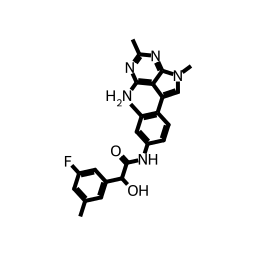 Cc1cc(F)cc(C(O)C(=O)Nc2ccc(-c3cn(C)c4nc(C)nc(N)c34)c(C)c2)c1